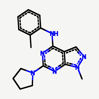 Cc1ccccc1Nc1nc(N2CCCC2)nc2c1cnn2C